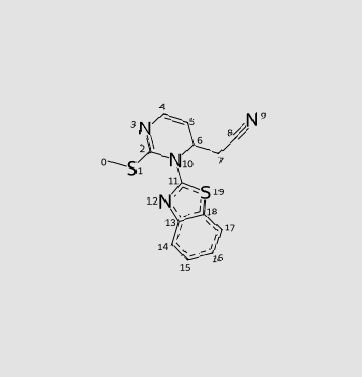 CSC1=NC=CC(CC#N)N1c1nc2ccccc2s1